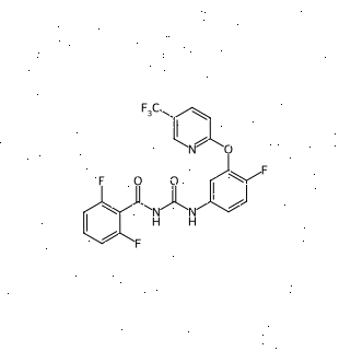 O=C(NC(=O)c1c(F)cccc1F)Nc1ccc(F)c(Oc2ccc(C(F)(F)F)cn2)c1